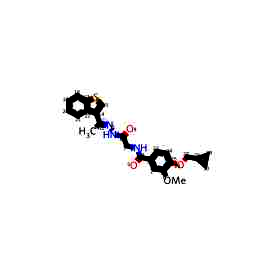 COc1cc(C(=O)NCC(=O)N/N=C(\C)c2csc3ccccc23)ccc1OCC1CC1